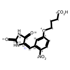 O=C(O)CCCOc1ccc([N+](=O)[O-])c(/C=C2/NC(=O)NC2=O)c1